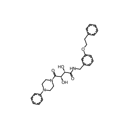 O=C(NCc1cccc(OCCc2ccccc2)c1)[C@H](O)[C@@H](O)C(=O)N1CCN(c2ccccc2)CC1